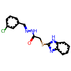 O=C(CSc1nc2ccccc2[nH]1)N/N=C/c1cccc(Cl)c1